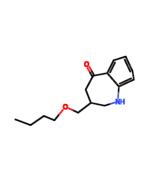 CCCCOCC1CNc2ccccc2C(=O)C1